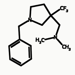 CN(C)CC1(C(F)(F)F)CCN(Cc2ccccc2)C1